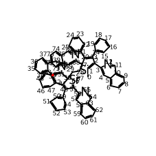 C[Si]1=C(c2cc3ccccc3cn2)C(c2ccccc2)=C(c2ccccc2)C1(CCC1(c2cc3ccccc3cn2)C(c2ccccc2)=C(c2ccccc2)C(c2cc3ccccc3cn2)=[Si]1C)c1cc2ccccc2cn1